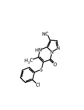 Cc1[nH]c2c(C#N)cnn2c(=O)c1Sc1ccccc1Cl